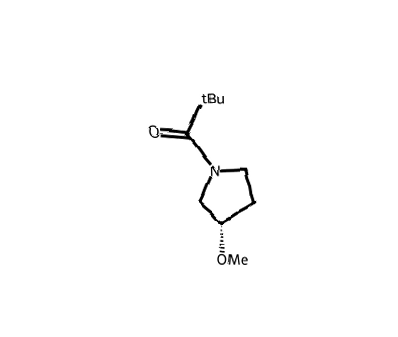 CO[C@H]1CCN(C(=O)C(C)(C)C)C1